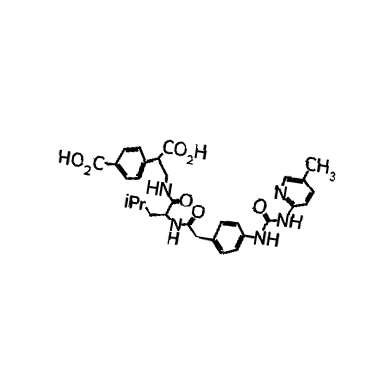 Cc1ccc(NC(=O)Nc2ccc(CC(=O)N[C@@H](CC(C)C)C(=O)NCC(C(=O)O)c3ccc(C(=O)O)cc3)cc2)nc1